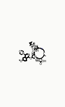 COc1ccc2c(O[C@@H]3C[C@H]4C(=O)NC5(C(=O)NS(=O)(=O)C6(C)CC6)CC5/C=C\CC[C@@H](C)C[C@@H](C)[C@H](NC(=O)O)C(=O)N4C3)ncc(N3CCOCC3)c2c1